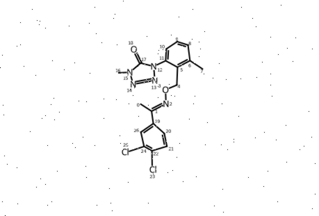 CC(=NOCc1c(C)cccc1-n1nnn(C)c1=O)c1ccc(Cl)c(Cl)c1